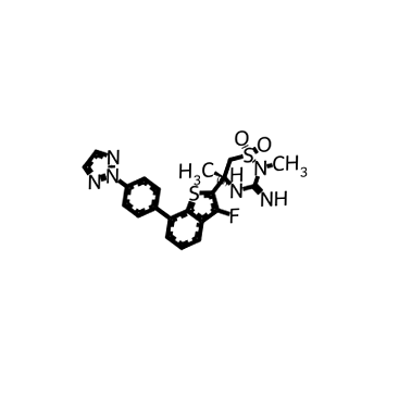 CN1C(=N)N[C@](C)(c2sc3c(-c4ccc(-n5nccn5)cc4)cccc3c2F)CS1(=O)=O